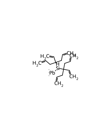 C=CCC(C=C)(CC=C)[SiH]([Pb])C(C=C)(CC=C)CC=C